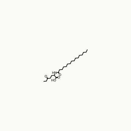 CCCCCCCCCCCCCCCC(=O)NC(CCC(=O)CC)C(=O)O